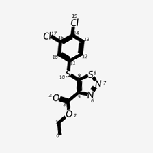 CCOC(=O)c1nnsc1Sc1ccc(Cl)c(Cl)c1